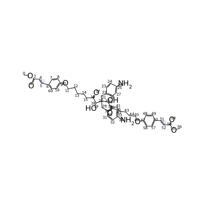 COC(=O)/C=C/c1ccc(OCCCCCC(=O)C(O)C(Cc2ccc(N)cc2)(Cc2ccc(N)cc2)C(O)C(=O)CCCCCOc2ccc(/C=C/C(=O)OC)cc2)cc1